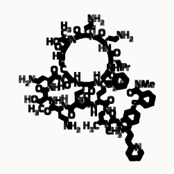 CNC(=O)c1ccccc1Sc1ccc2c(/C=C/c3ccccn3)nn(C(=O)N(C)C(C)CNC(=O)[C@H](CCC(=O)O)NC(=O)CCC(=O)N[C@@H](CCN)C(=O)N[C@H](C(=O)N[C@@H](CCN)C(=O)N[C@H]3CCNC(=O)[C@H]([C@@H](C)O)NC(=O)[C@H](CCN)NC(=O)[C@H](CCN)NC(=O)[C@H](CC(C)C)NC(=O)[C@@H](Cc4ccccc4)NC(=O)[C@H](CCN)NC3=O)[C@@H](C)O)c2c1